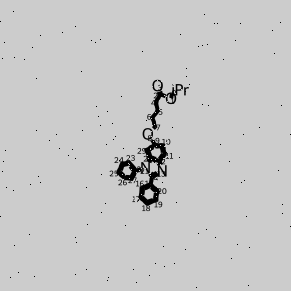 CC(C)OC(=O)CCCCOc1ccc2nc(-c3ccccc3)n(-c3ccccc3)c2c1